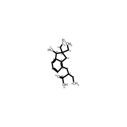 CCC(Cc1cccc2c1CC(CC)(CC)C2O)C(=O)O